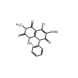 Cn1c(=O)c2c(Cl)c(C=O)c(=O)n(-c3ccccc3)c2n(C)c1=O